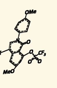 COc1ccc(-n2cc(Cl)c3cc(OC)cc(OS(=O)(=O)C(F)(F)F)c3c2=O)cc1